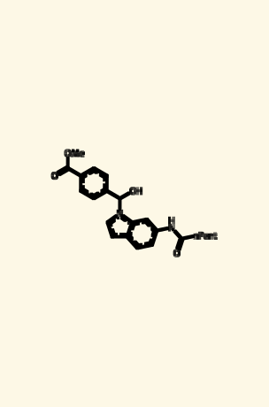 CCCCCC(=O)Nc1ccc2ccn(C(O)c3ccc(C(=O)OC)cc3)c2c1